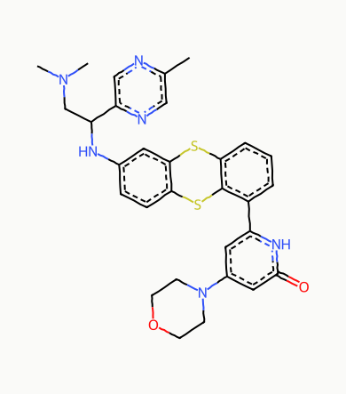 Cc1cnc(C(CN(C)C)Nc2ccc3c(c2)Sc2cccc(-c4cc(N5CCOCC5)cc(=O)[nH]4)c2S3)cn1